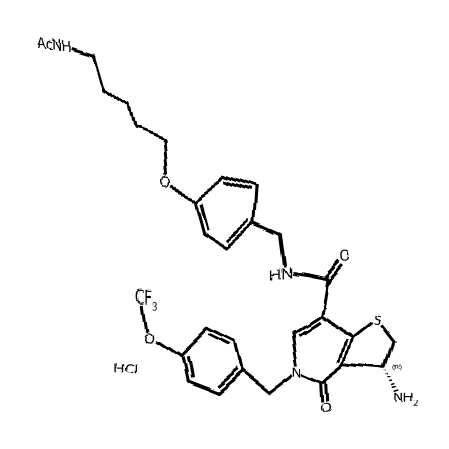 CC(=O)NCCCCCOc1ccc(CNC(=O)c2cn(Cc3ccc(OC(F)(F)F)cc3)c(=O)c3c2SC[C@@H]3N)cc1.Cl